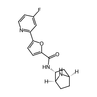 O=C(N[C@@H]1C[C@H]2CC[C@@H]1N2)c1ccc(-c2cc(F)ccn2)o1